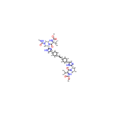 CNC(=O)N1CCN(C(=O)[C@@H](NC(=O)OC)C(C)C)[C@H](c2nc(-c3ccc(C#Cc4ccc(-c5cnc([C@@H]6CCCN6C(=O)[C@@H](NC(=O)OC)C(C)C)[nH]5)cc4)cc3)c[nH]2)C1